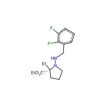 CCOC(=O)[C@@]1(CC)CCCN1NCc1cccc(F)c1F